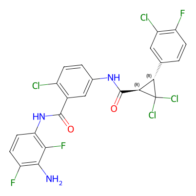 Nc1c(F)ccc(NC(=O)c2cc(NC(=O)[C@H]3[C@H](c4ccc(F)c(Cl)c4)C3(Cl)Cl)ccc2Cl)c1F